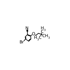 CC(C)(C)CCOc1ccc(Br)cc1C#N